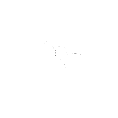 CCOC(=O)c1nn(CC)cc1C